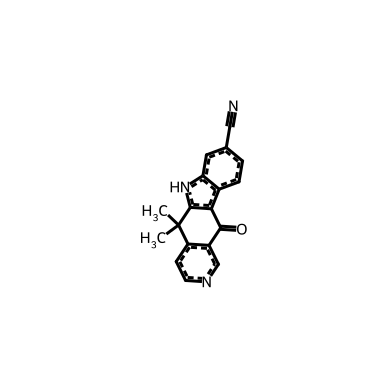 CC1(C)c2ccncc2C(=O)c2c1[nH]c1cc(C#N)ccc21